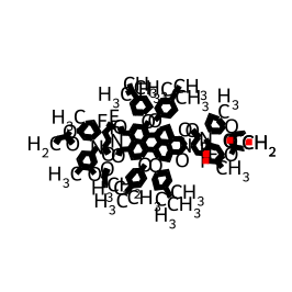 C=CC(=O)Oc1cc(N(C(=O)C(CC(F)(F)F)N2C(=O)c3cc(Oc4ccc(C(C)(C)C)cc4)c4c5c(Oc6ccc(C(C)(C)C)cc6)cc6c7c(cc(Oc8ccc(C(C)(C)C)cc8)c(c8c(Oc9ccc(C(C)(C)C)cc9)cc(c3c48)C2=O)c75)C(=O)N(C(CC(F)(F)F)C(=O)N(c2ccc(C)c(OC(=O)C=C)c2)c2ccc(C)c(OC(=O)C=C)c2)C6=O)c2ccc(C)c(OC(=O)C=C)c2)ccc1C